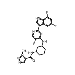 Cn1nncc1C(=O)N[C@@H]1CCC[C@H](Nc2nc(-c3c[nH]c4c(F)cc(Cl)cc34)ncc2F)C1